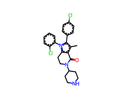 Cc1c2c(n(-c3ccccc3Cl)c1-c1ccc(Cl)cc1)CCN(C1CCNCC1)C2=O